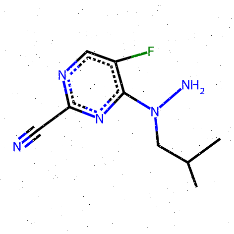 CC(C)CN(N)c1nc(C#N)ncc1F